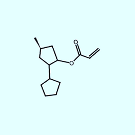 C=CC(=O)OC1C[C@H](C)CC1C1CCCC1